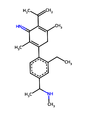 C=C(C)C1=C(C)CC(c2ccc(C(C)NC)cc2CC)=C(C)C1=N